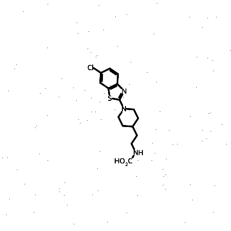 O=C(O)NCCC1CCN(c2nc3ccc(Cl)cc3s2)CC1